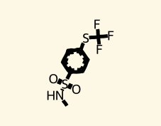 CNS(=O)(=O)c1ccc(SC(F)(F)F)cc1